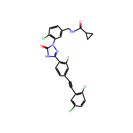 O=C(NCc1ccc(Cl)c(-n2nc(-c3ccc(C#Cc4cc(Cl)ccc4Cl)cc3F)[nH]c2=O)c1)C1CC1